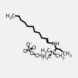 CCCCCCCCCC=CNC(CC)[N+](C)(C)C.COS(=O)(=O)[O-]